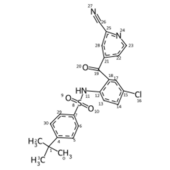 CC(C)(C)c1ccc(S(=O)(=O)Nc2ccc(Cl)cc2C(=O)c2ccnc(C#N)c2)cc1